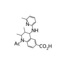 CC(=O)N1c2ccc(C(=O)O)cc2C(Nc2cccc(C)n2)C(C)C1C